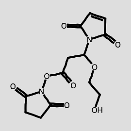 O=C(CC(OCCO)N1C(=O)C=CC1=O)ON1C(=O)CCC1=O